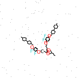 CCCC1COC(CCCCOc2ccc(OCC3CCC(C4CCC(C)CC4)CC3)c(F)c2F)(CCCCOc2ccc(OCC3CCC(C4CCC(C)CC4)CC3)c(F)c2F)OC1